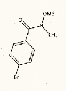 CON(C)C(=O)c1ccc(Br)nc1